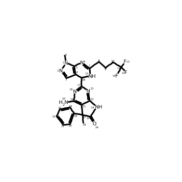 Cn1ncc2c1N=C(CCCC(F)(F)F)NC2c1nc(N)c2c(n1)NC(=O)C2(C)c1ccccc1